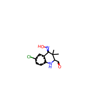 CC1(C)/C(=N/O)c2cc(Cl)ccc2NC1C=O